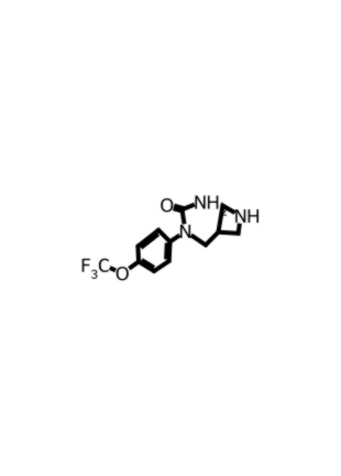 NC(=O)N(CC1CNC1)c1ccc(OC(F)(F)F)cc1